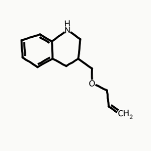 C=CCOCC1CNc2ccccc2C1